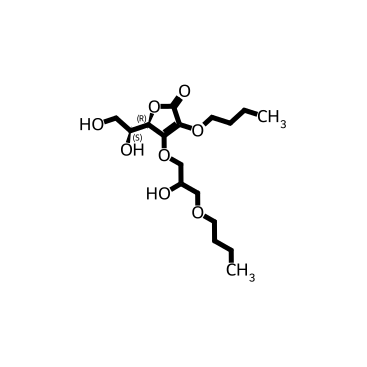 CCCCOCC(O)COC1=C(OCCCC)C(=O)O[C@@H]1[C@@H](O)CO